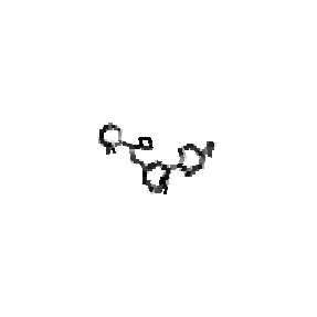 O=C(Cc1ccnc(-c2ccc(F)cc2)c1)c1ccccn1